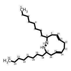 CCCCCCCCC1C/C=C/CC/C=C/CC(CCCCCCCC)/N=N/1